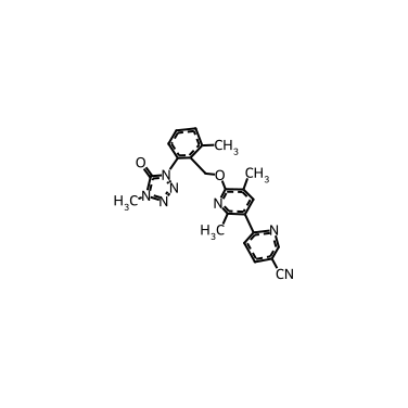 Cc1cc(-c2ccc(C#N)cn2)c(C)nc1OCc1c(C)cccc1-n1nnn(C)c1=O